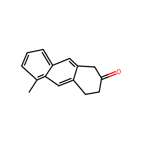 Cc1cccc2cc3c(cc12)CCC(=O)C3